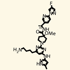 COC1(C(=O)N[C@@H](C)c2ccc(-n3cc(F)cn3)nc2)CCN(c2nc(CCCCN)cc(Nc3cc(C)[nH]n3)n2)CC1